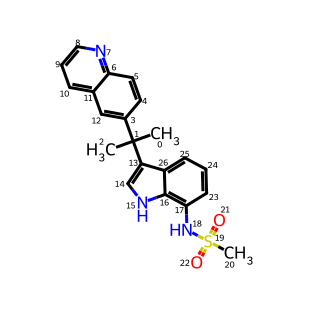 CC(C)(c1ccc2ncccc2c1)c1c[nH]c2c(NS(C)(=O)=O)cccc12